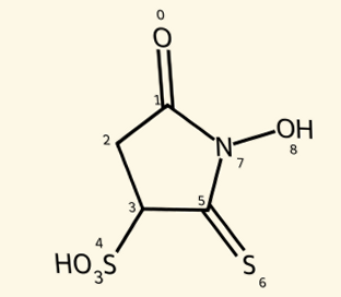 O=C1CC(S(=O)(=O)O)C(=S)N1O